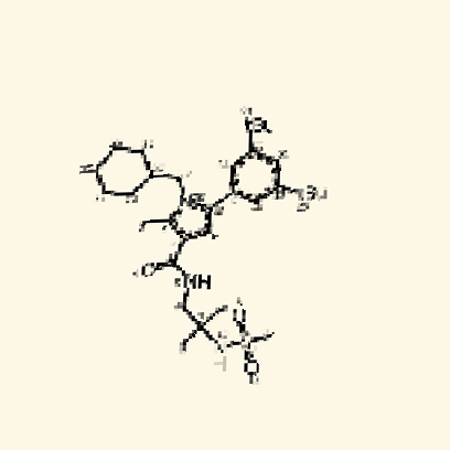 Cc1c(C(=O)NCC(C)(C)NS(C)(=O)=O)cc(-c2cc(C(C)(C)C)cc(C(C)(C)C)c2)n1CC1CCCCC1